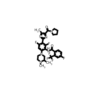 Cc1sc(-c2c(F)cc(N3CCN(C)C(C)C3)c(NC(=O)c3ccc(F)cc3C(F)(F)F)c2F)nc1C(=O)N1CCCC1